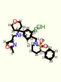 Cc1nc(CNC2(c3ccc(CN4[C@@H](C)CC[C@H](c5ccccc5)S4(=O)=O)c(F)c3)CCOCC2)co1.Cl